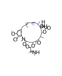 CN[C@H](C)C(=O)OC1CC(=O)N(C)c2cc(cc(OC)c2Cl)C/C(C)=C/C=C/C(C)C2(O)CC(OC(=O)N2)C(C)C2OC12C